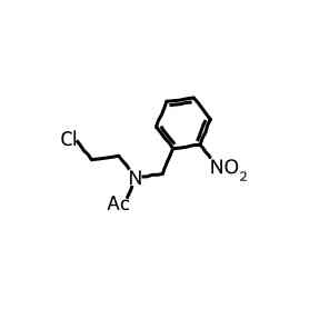 CC(=O)N(CCCl)Cc1ccccc1[N+](=O)[O-]